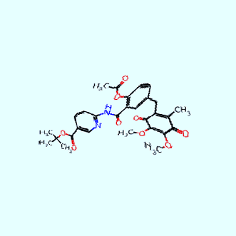 COC1=C(OC)C(=O)C(Cc2ccc(OC(C)=O)c(C(=O)Nc3ccc(C(=O)OC(C)(C)C)cn3)c2)=C(C)C1=O